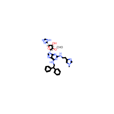 Cn1cnc(CCNc2nc(NCC(c3ccccc3)c3ccccc3)c3ncn([C@@H]4O[C@H](c5nnc[nH]5)[C@@H](O)[C@H]4OC=O)c3n2)c1